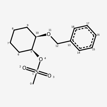 CS(=O)(=O)O[C@H]1CCCC[C@H]1OCc1ccccc1